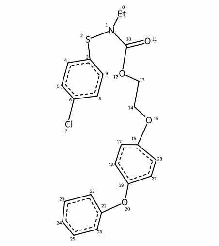 CCN(Sc1ccc(Cl)cc1)C(=O)OCCOc1ccc(Oc2ccccc2)cc1